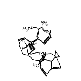 Nc1nccc(C2=CC(CC3=C/CCC/C=C(C(C4CC4)C(O)NCC(F)(F)F)/C=C\3)CCN=C2)c1N